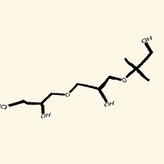 CC(C)(CO)OCC(O)COCC(O)CO